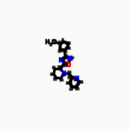 Cc1cccc(-c2noc(C3CCCCN3Cc3ccccn3)n2)c1